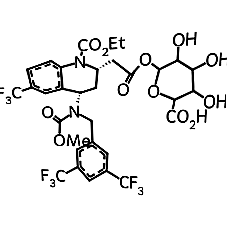 CCOC(=O)N1c2ccc(C(F)(F)F)cc2[C@@H](N(Cc2cc(C(F)(F)F)cc(C(F)(F)F)c2)C(=O)OC)C[C@H]1CC(=O)OC1OC(C(=O)O)C(O)C(O)C1O